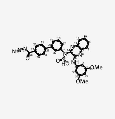 COc1cc(Nc2nc3ccccc3nc2N(c2cccc(-c3ccc(C(=O)N=[N+]=[N-])cc3)c2)[SH](=O)=O)cc(OC)c1